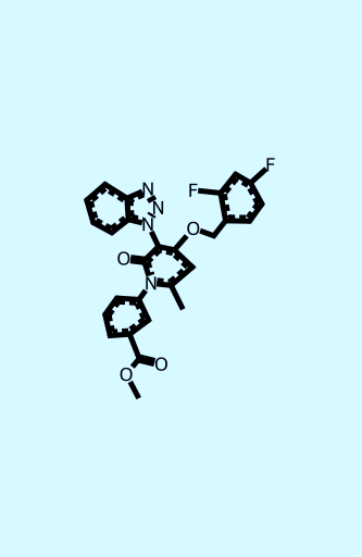 COC(=O)c1cccc(-n2c(C)cc(OCc3ccc(F)cc3F)c(-n3nnc4ccccc43)c2=O)c1